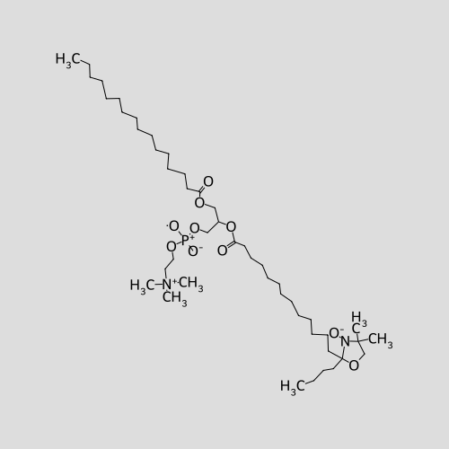 CCCCCCCCCCCCCCCC(=O)OCC(CO[P+]([O])([O-])OCC[N+](C)(C)C)OC(=O)CCCCCCCCCCCCC1(CCCC)OCC(C)(C)N1[O-]